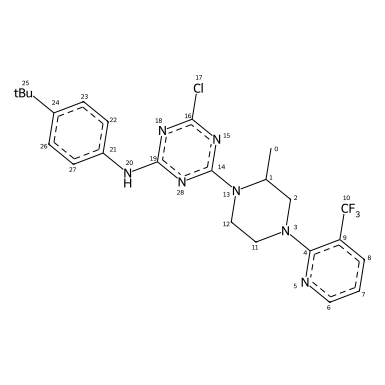 CC1CN(c2ncccc2C(F)(F)F)CCN1c1nc(Cl)nc(Nc2ccc(C(C)(C)C)cc2)n1